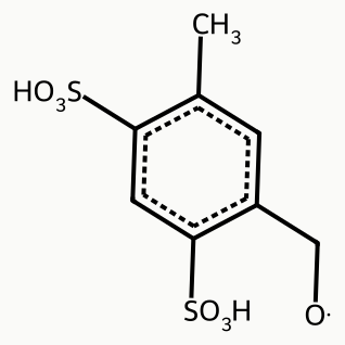 Cc1cc(C[O])c(S(=O)(=O)O)cc1S(=O)(=O)O